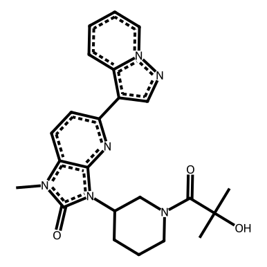 Cn1c(=O)n(C2CCCN(C(=O)C(C)(C)O)C2)c2nc(-c3cnn4ccccc34)ccc21